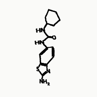 Nc1nc2ccc(NC(=O)NC3CCCCC3)cc2s1